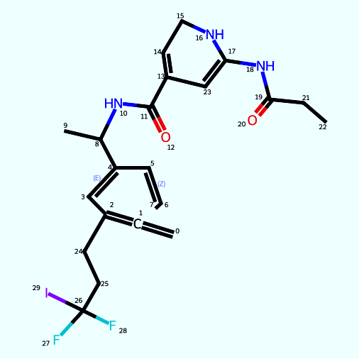 C=C=C(/C=C(\C=C/C)C(C)NC(=O)C1=CCNC(NC(=O)CC)=C1)CCC(F)(F)I